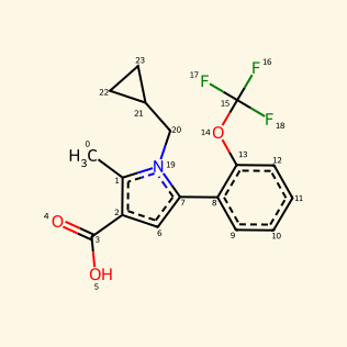 Cc1c(C(=O)O)cc(-c2ccccc2OC(F)(F)F)n1CC1CC1